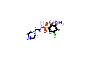 CN1CCN(CCNS(=O)(=O)c2cc(Cl)cc(N)c2O)CC1